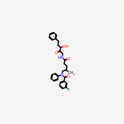 CC(CCC(=O)NCC(=O)C(O)CCc1ccccc1)CN(C(=O)c1cccc(F)c1)c1ccccc1